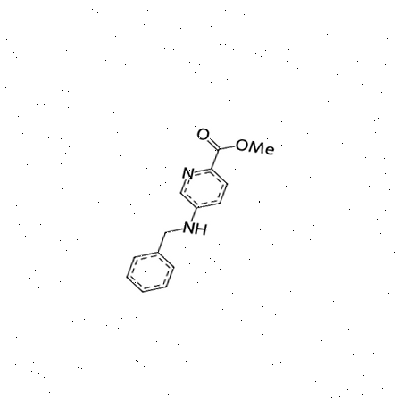 COC(=O)c1ccc(NCc2ccccc2)cn1